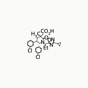 CCC(c1nc(C2CC2)no1)N1C(=O)[C@@](C)(CC(=O)O)CC(c2cccc(Cl)c2)[C@H]1c1ccc(Cl)cc1